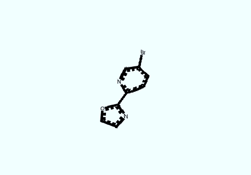 Brc1ccc(-c2ncco2)nc1